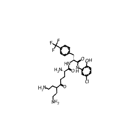 NCCC(CCN)C(=O)CC[C@H](N)C(=O)N[C@H](Cc1ccc(C(F)(F)F)cc1)C(=O)Nc1cc(Cl)ccc1O